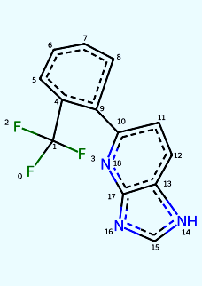 FC(F)(F)c1ccccc1-c1ccc2[nH]cnc2n1